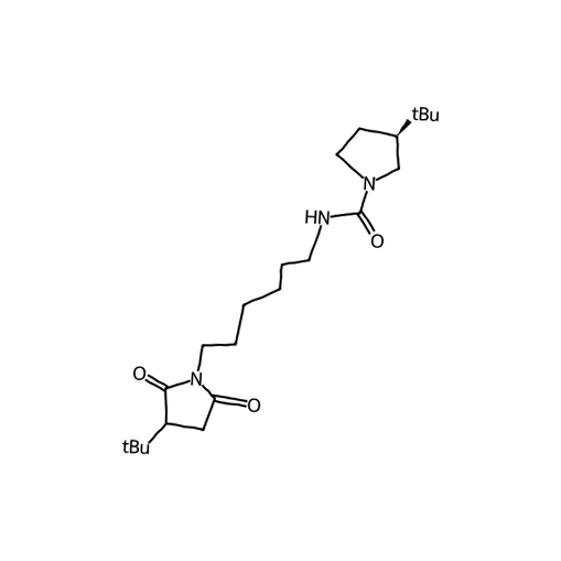 CC(C)(C)C1CC(=O)N(CCCCCCNC(=O)N2CC[C@@H](C(C)(C)C)C2)C1=O